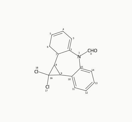 O=CN1C2=CC=CCC2C2C(c3ccccc31)C2(Cl)Cl